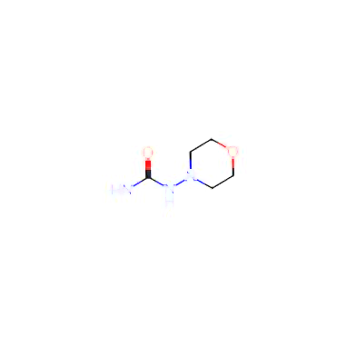 [NH]C(=O)NN1CCOCC1